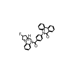 O=C(Nc1ccc(C(=O)N2C[C@H]3CC(F)CN3c3ccccc32)cc1)c1ccccc1-c1ccccc1